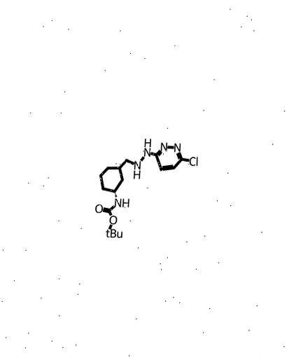 CC(C)(C)OC(=O)N[C@@H]1CCCC(CNNc2ccc(Cl)nn2)C1